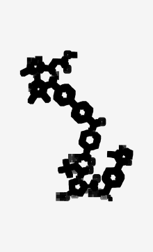 COC(=O)CC1N=C(c2ccc(-c3ccc(C(=O)N4CCC(C(=O)N[C@H](C(=O)N5C[C@H](O)C[C@H]5C(=O)N[C@@H](C)c5ccc(-c6scnc6C)cc5)C(C)(C)C)CC4)cc3)cc2)c2c(sc(C)c2C)-n2c(C)nnc21